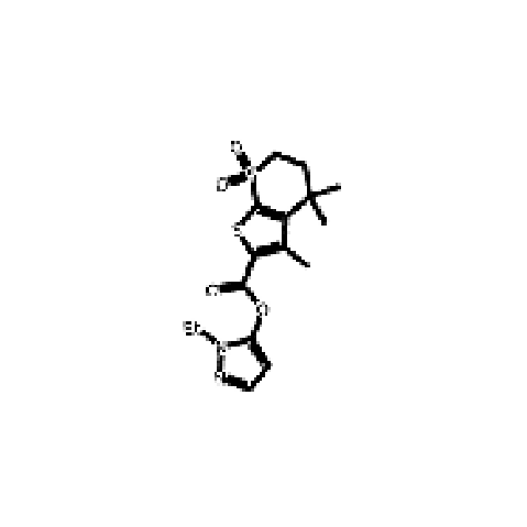 CCn1nccc1OC(=O)c1sc2c(c1C)C(C)(C)CCS2(=O)=O